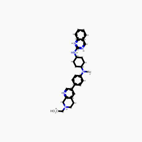 CC(=O)N(c1ccc(-c2cnc3c(c2)CCN(CC(=O)O)C3)cc1)C1CCC(Nc2ncc3ccccc3n2)CC1